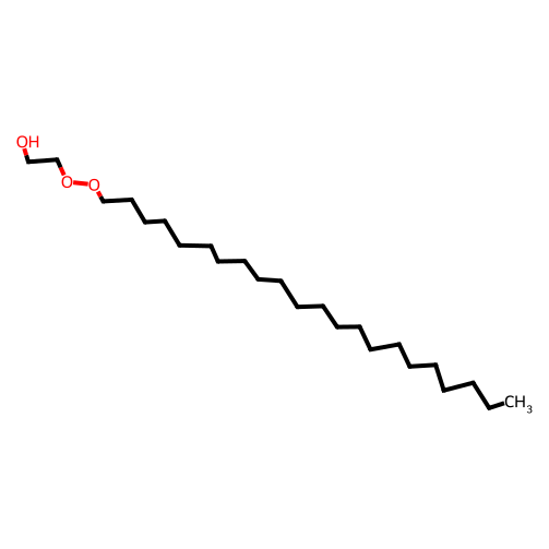 CCCCCCCCCCCCCCCCCCCCCCOOCCO